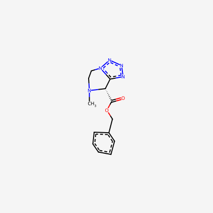 CN1CCn2nnnc2[C@@H]1C(=O)OCc1ccccc1